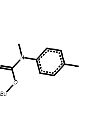 Cc1ccc(N(C)C(=O)OC(C)(C)C)cc1